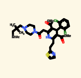 COC(=O)C1=C(CCc2nccs2)NC(CC(=O)N2CCN(CC(C)(C)CNC(C)=O)CC2)=C(C(=O)OC)C1c1c(Cl)cccc1Cl